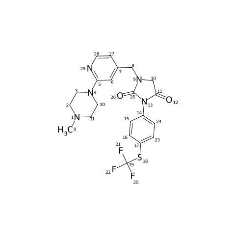 CN1CCN(c2cc(CN3CC(=O)N(c4ccc(SC(F)(F)F)cc4)C3=O)ccn2)CC1